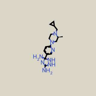 C[C@H]1CN(c2ccc(C3(N)N=C(N)NN3)cn2)CCN1CC1CC1